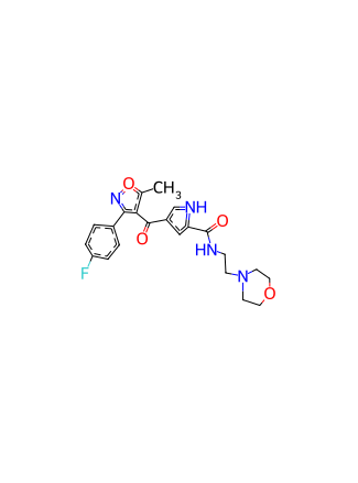 Cc1onc(-c2ccc(F)cc2)c1C(=O)c1c[nH]c(C(=O)NCCN2CCOCC2)c1